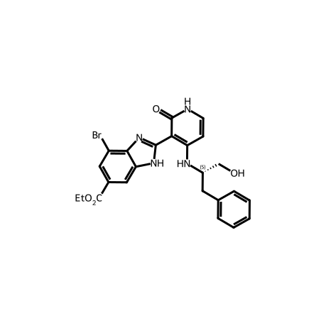 CCOC(=O)c1cc(Br)c2nc(-c3c(N[C@H](CO)Cc4ccccc4)cc[nH]c3=O)[nH]c2c1